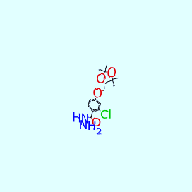 CC1(C)O[C@@H](COc2ccc(C(=O)NN)c(Cl)c2)C(C)(C)O1